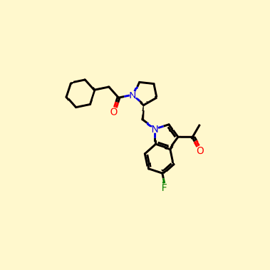 CC(=O)c1cn(C[C@@H]2CCCN2C(=O)CC2CCCCC2)c2ccc(F)cc12